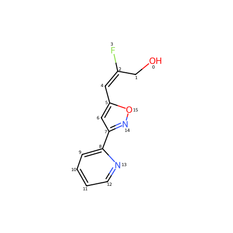 OC/C(F)=C\c1cc(-c2ccccn2)no1